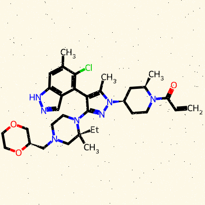 C=CC(=O)N1CC[C@@H](n2nc(N3CCN(C[C@@H]4COCCO4)C[C@]3(C)CC)c(-c3c(Cl)c(C)cc4[nH]ncc34)c2C)C[C@H]1C